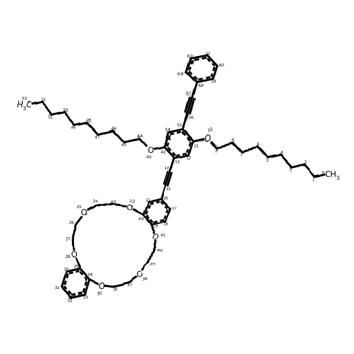 CCCCCCCCCCOc1cc(C#Cc2ccc3c(c2)OCCOCCOc2ccccc2OCCOCCO3)c(OCCCCCCCCCC)cc1C#Cc1ccccc1